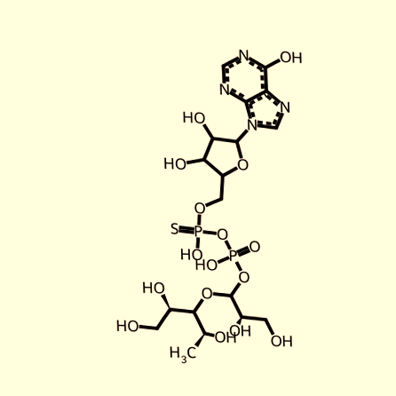 C[C@H](O)C(OC(OP(=O)(O)OP(O)(=S)OCC1OC(n2cnc3c(O)ncnc32)C(O)C1O)[C@H](O)CO)[C@H](O)CO